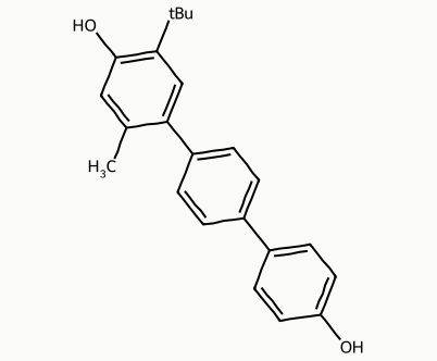 Cc1cc(O)c(C(C)(C)C)cc1-c1ccc(-c2ccc(O)cc2)cc1